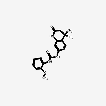 COc1ccccc1NC(=O)Nc1ccc2c(c1)NC(=O)CC2(C)C